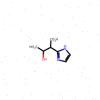 O=C(O)C(O)C(C(=O)O)c1ncc[nH]1